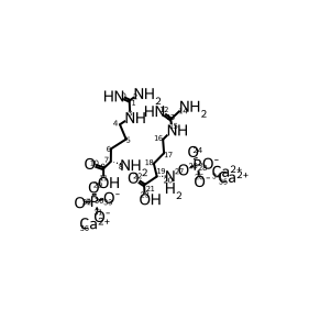 N=C(N)NCCC[C@H](N)C(=O)O.N=C(N)NCCC[C@H](N)C(=O)O.O=P([O-])([O-])[O-].O=P([O-])([O-])[O-].[Ca+2].[Ca+2].[Ca+2]